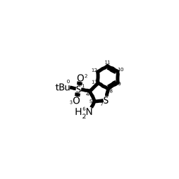 CC(C)(C)S(=O)(=O)C1C(N)SC2=CC=CCC21